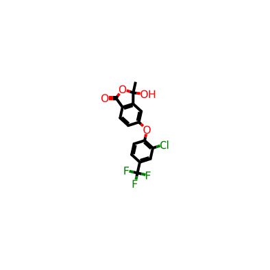 CC1(O)OC(=O)c2ccc(Oc3ccc(C(F)(F)F)cc3Cl)cc21